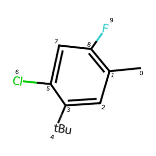 Cc1cc(C(C)(C)C)c(Cl)cc1F